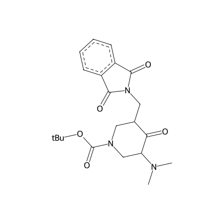 CN(C)C1CN(C(=O)OC(C)(C)C)CC(CN2C(=O)c3ccccc3C2=O)C1=O